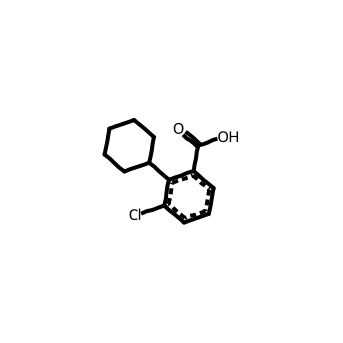 O=C(O)c1cccc(Cl)c1C1CCCCC1